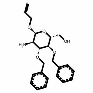 C=CCO[C@H]1O[C@H](CO)[C@@H](OCc2ccccc2)[C@H](OCc2ccccc2)[C@H]1N